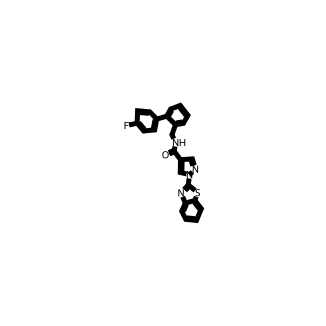 O=C(NCc1ccccc1-c1ccc(F)cc1)c1cnn(-c2nc3ccccc3s2)c1